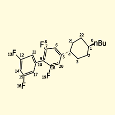 CCCC[C@H]1CC[C@H](c2cc(F)c(-c3cc(F)cc(F)c3)c(F)c2)CC1